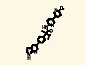 COc1ccc(-c2ccc(NC(=O)C(C)(c3ccc(-c4cnc5[nH]ccc5c4)cc3)C(C)C)nc2)cn1